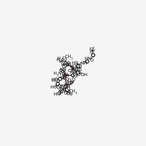 CN[C@H](CC(C)C)C(=O)NC1C(=O)N[C@@H](CC(N)=O)C(=O)N[C@H]2C(=O)N[C@H]3C(=O)N[C@H](C(=O)N[C@@H](C(=O)O)c4cc(O)cc(O)c4-c4cc3ccc4O)[C@H](O[C@H]3C[C@](C)(NCc4c[nH]cn4)[C@@H](O)[C@H](C)O3)c3ccc(c(Cl)c3)Oc3cc2cc(c3O[C@@H]2O[C@H](CO)[C@@H](O[C@@H]3O[C@H](CNCc4cccc(NC(=O)c5cccc(OC(F)(F)F)c5)c4)[C@H](O)[C@H](O)[C@H]3O)[C@H](O)[C@H]2O)Oc2ccc(cc2Cl)[C@H]1O